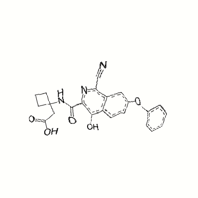 N#Cc1nc(C(=O)NC2(CC(=O)O)CCC2)c(O)c2ccc(Oc3ccccc3)cc12